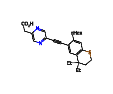 CCCCCCc1cc2c(cc1C#Cc1cnc(CC(=O)O)cn1)C(CC)(CC)CCS2